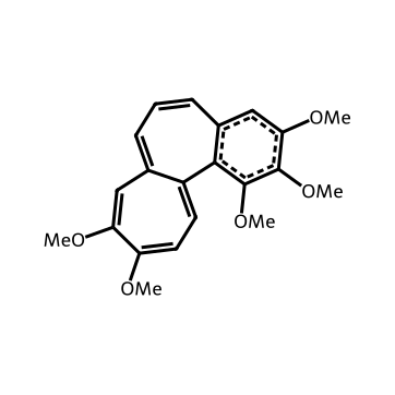 COC1=CC=C2C(=CC=Cc3cc(OC)c(OC)c(OC)c32)C=C1OC